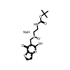 CC(C)(C)OC(=O)NCC[S+]([O-])Cc1c(S)sc2ccsc2c1=O.[NaH]